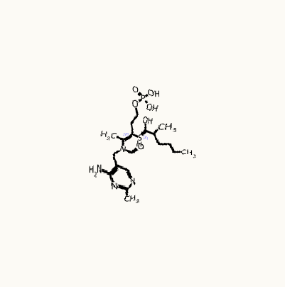 CCCCC(C)/C(O)=[SH]/C(CCOP(=O)(O)O)=C(/C)N(C=O)Cc1cnc(C)nc1N